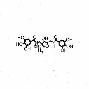 C[C@@]1(CN(O)C(=O)c2cc(O)c(O)c(O)c2)CO[C@H](CNC(=O)c2cc(O)c(O)c(O)c2)[C@H]1O